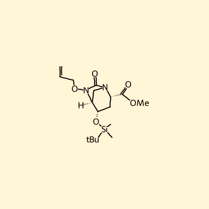 C=CCON1C(=O)N2C[C@H]1[C@@H](O[Si](C)(C)C(C)(C)C)C[C@H]2C(=O)OC